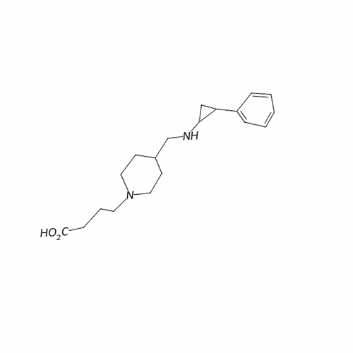 O=C(O)CCCN1CCC(CNC2CC2c2ccccc2)CC1